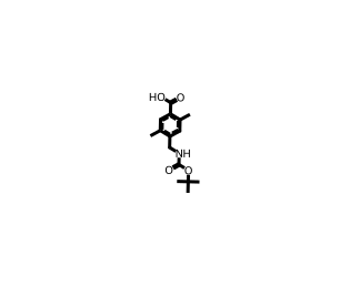 Cc1cc(C(=O)O)c(C)cc1CNC(=O)OC(C)(C)C